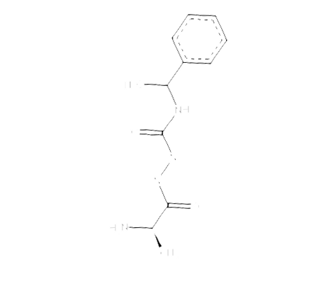 CC(NC(=O)NNC(=O)[C@@H](C)N)c1ccccc1